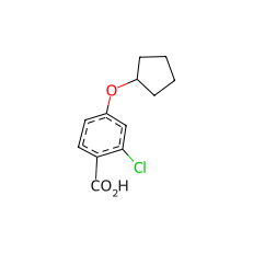 O=C(O)c1ccc(OC2CCCC2)cc1Cl